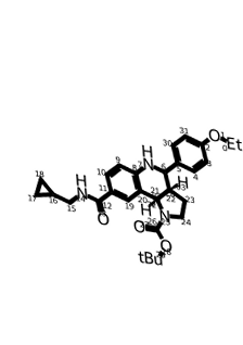 CCOc1ccc(C2Nc3ccc(C(=O)NCC4CC4)cc3[C@@H]3[C@H]2CCN3C(=O)OC(C)(C)C)cc1